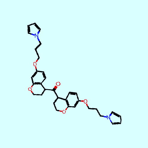 O=C(C1CCOc2cc(OCCCn3cccc3)ccc21)C1CCOc2cc(OCCCn3cccc3)ccc21